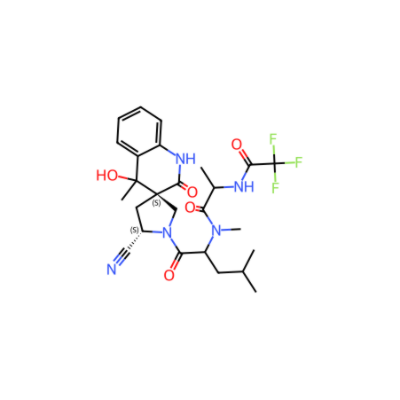 CC(C)CC(C(=O)N1C[C@]2(C[C@H]1C#N)C(=O)Nc1ccccc1C2(C)O)N(C)C(=O)C(C)NC(=O)C(F)(F)F